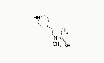 CN(CCC1CCNCC1)/C(=C\S)C(F)(F)F